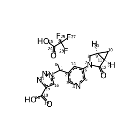 CC(c1cncc(N2C[C@H]3C[C@H]3C2=O)c1)n1cc(C(=O)O)nn1.O=C(O)C(F)(F)F